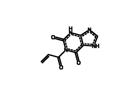 C=CC(=O)n1c(=O)[nH]c2nc[nH]c2c1=O